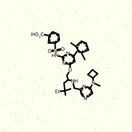 CCC(C)(C)CC(COc1cc(-c2c(C)cccc2C)nc(NS(=O)(=O)c2cccc(C(=O)O)c2)n1)NCc1cncc(N(C)C2CCC2)n1